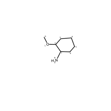 COC1CCCCC1N